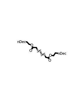 CCCCCCCCCCCCOC(=O)CSSSSCC(=O)OCCCCCCCCCCCC